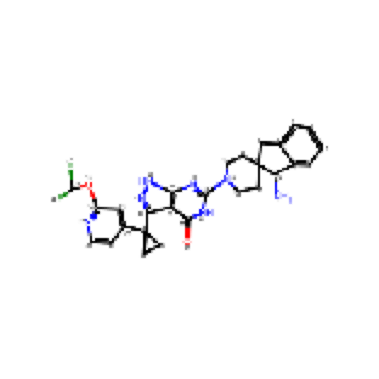 N[C@@H]1c2ccccc2CC12CCN(c1nc3[nH]nc(C4(c5ccnc(OC(F)F)c5)CC4)c3c(=O)[nH]1)CC2